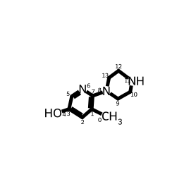 Cc1cc(O)cnc1N1CCNCC1